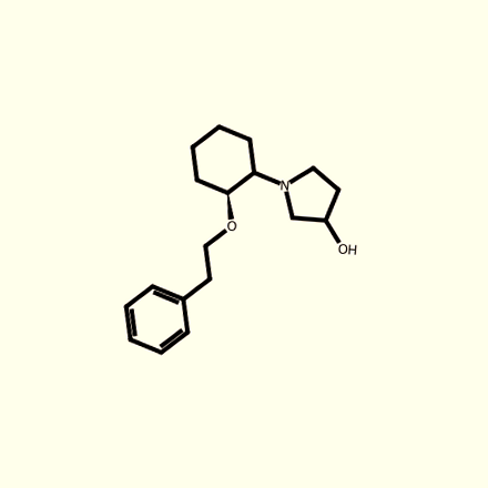 OC1CCN(C2CCCC[C@@H]2OCCc2ccccc2)C1